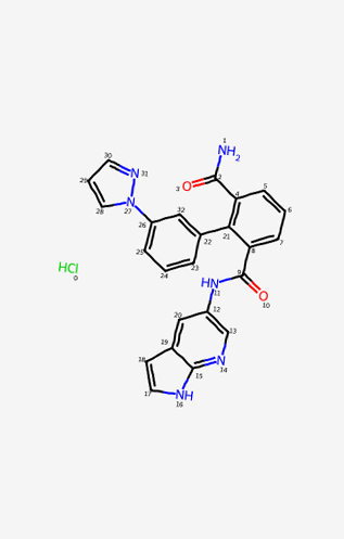 Cl.NC(=O)c1cccc(C(=O)Nc2cnc3[nH]ccc3c2)c1-c1cccc(-n2cccn2)c1